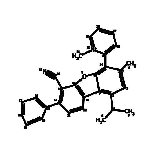 Cc1cc(C(C)C)c2c(oc3c(C#N)c(-c4ccccc4)ccc32)c1-c1cccc[n+]1C